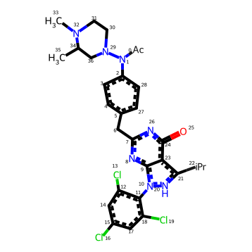 CC(=O)N(c1ccc(Cc2nc3n(-c4c(Cl)cc(Cl)cc4Cl)[nH]c(C(C)C)c-3c(=O)n2)cc1)N1CCN(C)C(C)C1